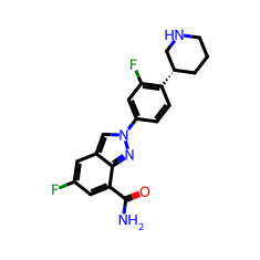 NC(=O)c1cc(F)cc2cn(-c3ccc([C@H]4CCCNC4)c(F)c3)nc12